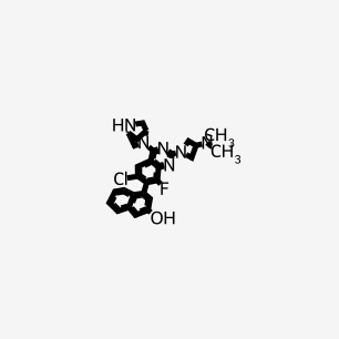 CN(C)C1CN(c2nc(N3CC4CC3CN4)c3cc(Cl)c(-c4cc(O)cc5ccccc45)c(F)c3n2)C1